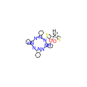 O=C(Oc1cccc2c3nc4nc(nc5[nH]c(nc6nc(nc([nH]3)c12)-c1ccccc1-6)c1ccccc51)-c1ccccc1-4)C([SiH3])(c1ccsc1)c1ccsc1